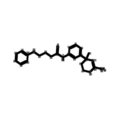 CC1(c2cccc(NC(=O)CCCOc3ccccc3)c2)CCSC(N)=N1